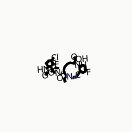 C=C/C1=N\C=C/CC2=CC(F)=CCC2(C)NC(C(=O)O)CCCC[C@@H]1C(=O)N1CC[C@@]2(C1)OC(=O)Nc1ccc(Cl)c(F)c12